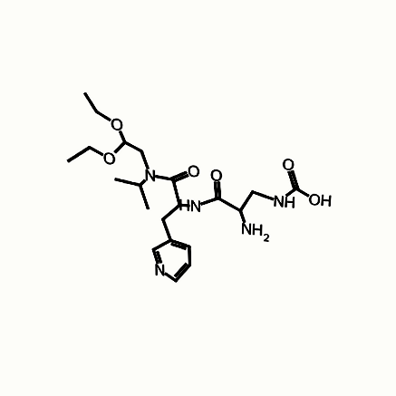 CCOC(CN(C(=O)C(Cc1cccnc1)NC(=O)C(N)CNC(=O)O)C(C)C)OCC